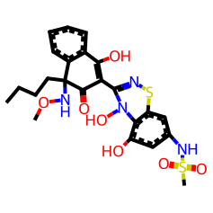 CCCCC1(NOC)C(=O)C(C2=NSc3cc(NS(C)(=O)=O)cc(O)c3N2O)=C(O)c2ccccc21